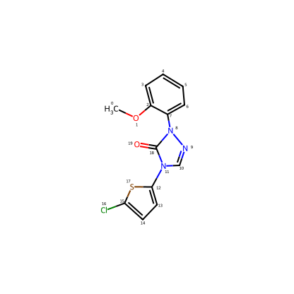 COc1ccccc1-n1ncn(-c2ccc(Cl)s2)c1=O